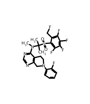 CN(c1ncnc2c1CCN(c1ccccc1F)C2)C(C)(C)S(=O)(=O)c1c(F)c(F)c(F)c(F)c1CF